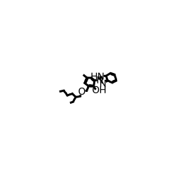 CCCCC(CC)COCc1cc(C)cc(N2N=C3C=CC=CC3N2)c1O